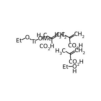 C=C(C)C(=O)O.C=C(C)C(=O)O.C=C(C)C(=O)O.CCO.CC[O][Ti][O]C